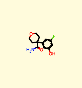 NC(=O)C1(c2cc(O)cc(F)c2)CCOCC1